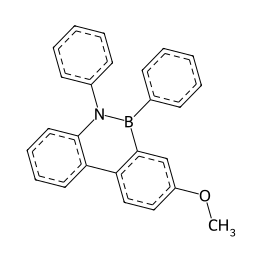 COc1ccc2c(c1)B(c1ccccc1)N(c1ccccc1)c1ccccc1-2